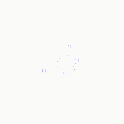 Nc1cc[nH]c(=O)n1.[N]